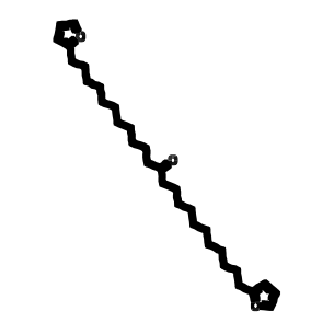 O=C(CCCCCCCCCCCc1ccco1)CCCCCCCCCCCc1ccco1